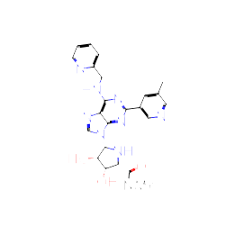 CNC(=O)[C@H]1N[C@@H](n2cnc3c(NCc4ccccn4)nc(-c4cncc(C)c4)nc32)[C@H](O)[C@@H]1O